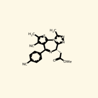 COC(=O)C[C@@H]1N=C(c2ccc(C#N)cc2)c2c(sc(C)c2C#N)-n2c(C)nnc21